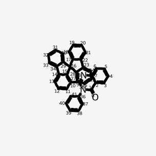 O=c1c2ccccc2nc(-c2cccc3c2C2(c4ccccc4-c4ccccc42)c2ccccc2-3)n1-c1ccccc1